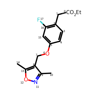 CCOC(=O)Cc1ccc(OCc2c(C)noc2C)cc1F